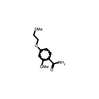 COc1cc(OCCSC)ccc1C(N)=O